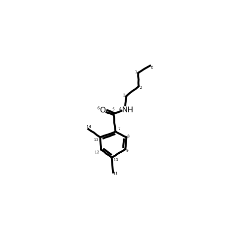 CCCCNC(=O)c1ccc(C)cc1C